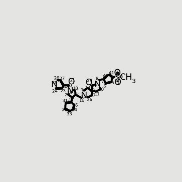 CS(=O)(=O)c1ccc(CN2CCC3(CCN(CC4CN(C(=O)c5ccncc5)CC4c4ccccc4)CC3)C2=O)cc1